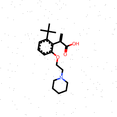 C=C(C(=O)O)c1c(OCCN2CCCCC2)cccc1C(C)(C)C